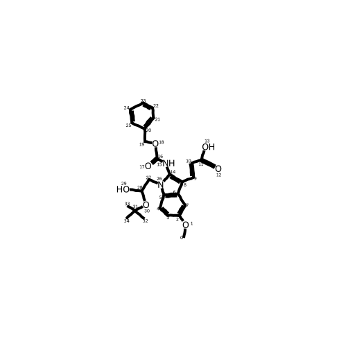 COc1ccc2c(c1)c(C=CC(=O)O)c(NC(=O)OCc1ccccc1)n2CC(O)OC(C)(C)C